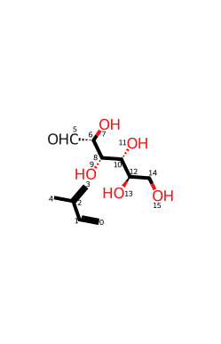 C=CC(=C)C.O=C[C@H](O)[C@@H](O)[C@H](O)[C@H](O)CO